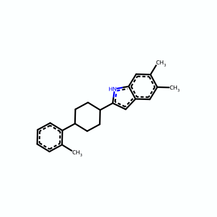 Cc1cc2cc(C3CCC(c4ccccc4C)CC3)[nH]c2cc1C